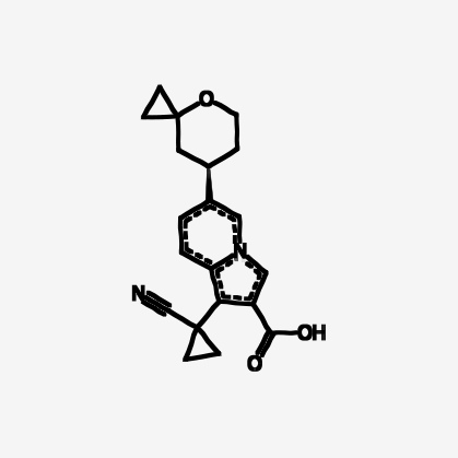 N#CC1(c2c(C(=O)O)cn3cc([C@@H]4CCOC5(CC5)C4)ccc23)CC1